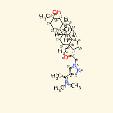 C=C(c1cnn(CC(=O)[C@H]2CC[C@H]3[C@@H]4CC[C@@H]5C[C@](C)(O)CC[C@]5(C)[C@H]4CC[C@]23C)c1)N(C)C